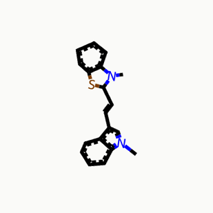 CN1c2ccccc2SC1/C=C/c1cn(C)c2ccccc12